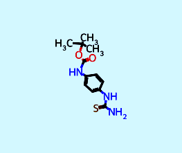 CC(C)(C)OC(=O)Nc1ccc(NC(N)=S)cc1